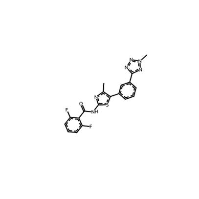 Cc1nc(NC(=O)c2c(F)cccc2F)sc1-c1cccc(-c2nnn(C)n2)c1